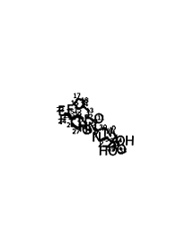 CCC(CC)(c1cnc(NC(=O)[C@H](CC2CCCC2)n2cc(C(F)(F)F)ccc2=O)cn1)P(=O)(O)O